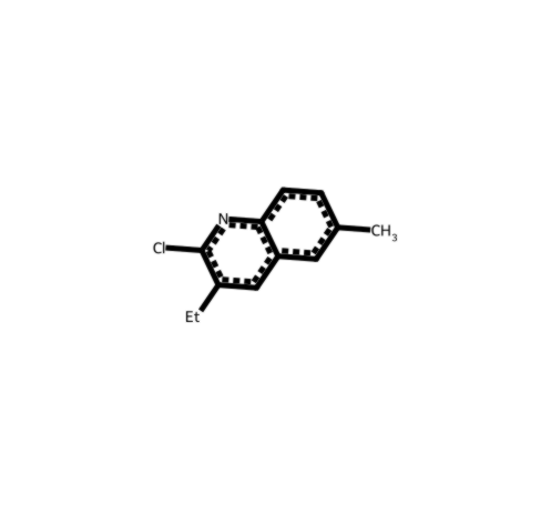 CCc1cc2cc(C)ccc2nc1Cl